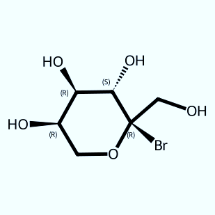 OC[C@]1(Br)OC[C@@H](O)[C@@H](O)[C@@H]1O